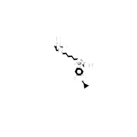 CN(c1ccc(F)c(OCC2CC2)c1)S(=O)(=O)CCCCCCN1CC(=O)NC1=O